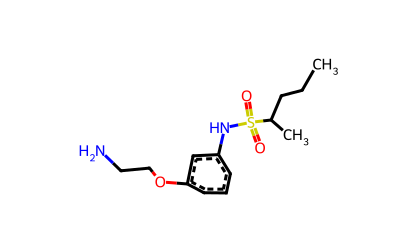 CCCC(C)S(=O)(=O)Nc1cccc(OCCN)c1